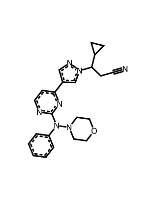 N#CCC(C1CC1)n1cc(-c2ccnc(N(c3ccccc3)N3CCOCC3)n2)cn1